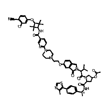 CC(=O)OC1CC(C(=O)N[C@@H](C)c2ccc(-c3scnc3C)cc2)N(C(=O)C(C(C)C)N2Cc3ccc(OCCN4CCN(c5ccc(C(=O)NC6C(C)(C)C(Oc7ccc(C#N)c(Cl)c7)C6(C)C)cn5)CC4)cc3C2=O)C1